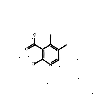 Cc1cnc(Cl)c(C(=O)Cl)c1C